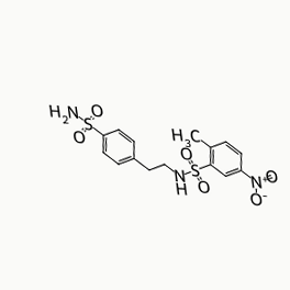 Cc1ccc([N+](=O)[O-])cc1S(=O)(=O)NCCc1ccc(S(N)(=O)=O)cc1